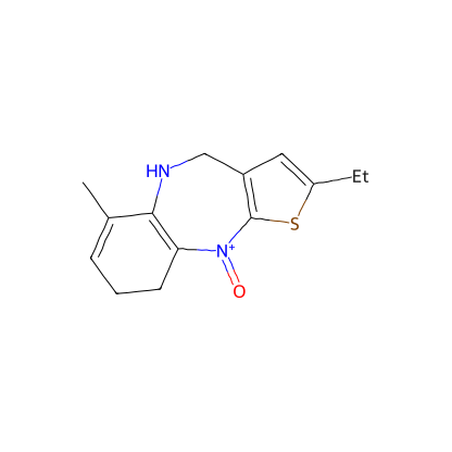 CCc1cc2c(s1)[N+](=O)C1=C(NC2)C(C)=CCC1